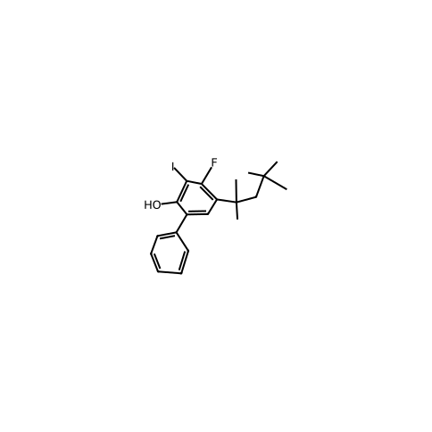 CC(C)(C)CC(C)(C)c1cc(-c2ccccc2)c(O)c(I)c1F